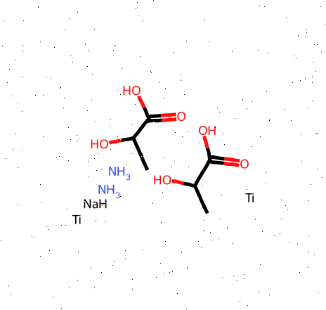 CC(O)C(=O)O.CC(O)C(=O)O.N.N.[NaH].[Ti].[Ti]